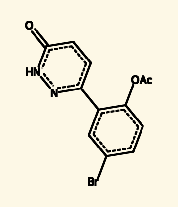 CC(=O)Oc1ccc(Br)cc1-c1ccc(=O)[nH]n1